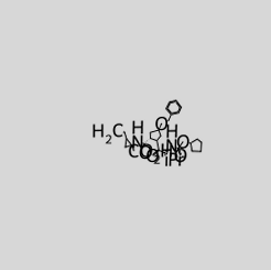 C=CC1C[C@]1(NC(=O)[C@@H]1C[C@@H](OCc2ccccc2)CC1C(=O)[C@@H](NC(=O)OC1CCCC1)C(C)C)C(=O)O